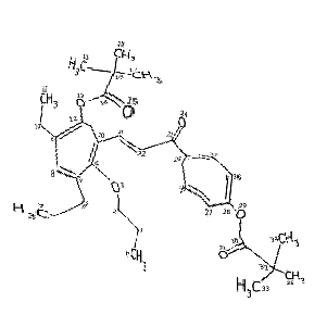 CCCOc1c(CC)cc(CC)c(OC(=O)C(C)(C)C)c1C=CC(=O)c1ccc(OC(=O)C(C)(C)C)cc1